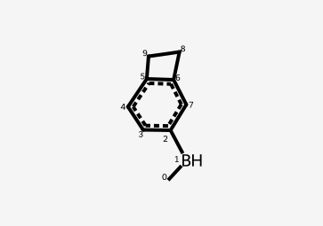 CBc1ccc2c(c1)CC2